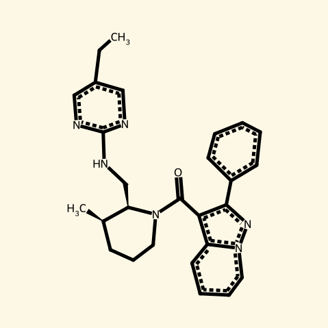 CCc1cnc(NC[C@@H]2[C@H](C)CCCN2C(=O)c2c(-c3ccccc3)nn3ccccc23)nc1